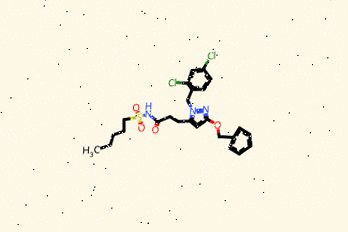 CCCCCS(=O)(=O)NC(=O)CCc1cc(OCc2ccccc2)nn1Cc1ccc(Cl)cc1Cl